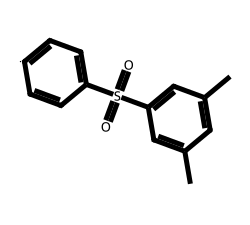 Cc1cc(C)cc(S(=O)(=O)c2cc[c]cc2)c1